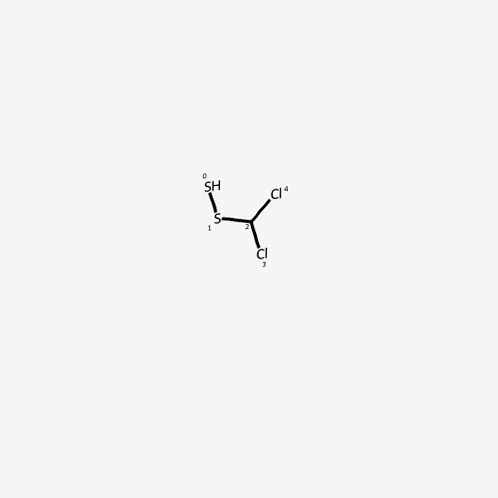 SSC(Cl)Cl